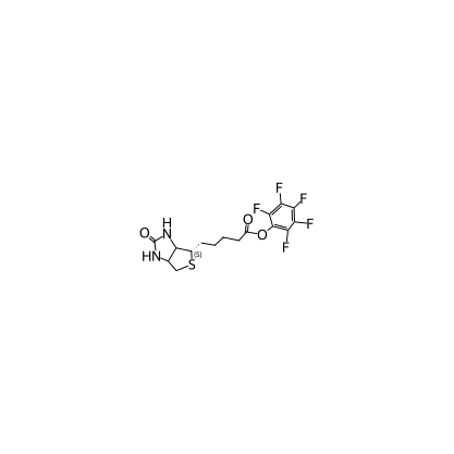 O=C1NC2CS[C@@H](CCCCC(=O)Oc3c(F)c(F)c(F)c(F)c3F)C2N1